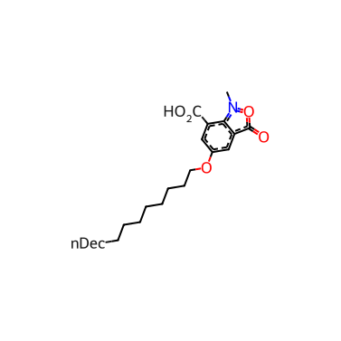 CCCCCCCCCCCCCCCCCCOc1cc(C(=O)O)c2c(c1)c(=O)on2C